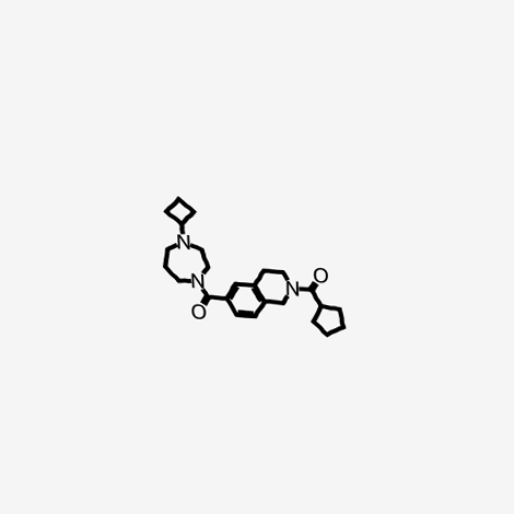 O=C(c1ccc2c(c1)CCN(C(=O)C1CCCC1)C2)N1CCCN(C2CCC2)CC1